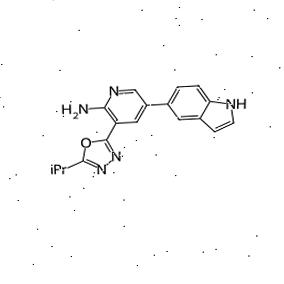 CC(C)c1nnc(-c2cc(-c3ccc4[nH]ccc4c3)cnc2N)o1